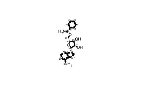 Nc1ncnc2c1ncn2[C@@H]1O[C@H](COP(N)c2ccccc2)[C@@H](O)[C@H]1O